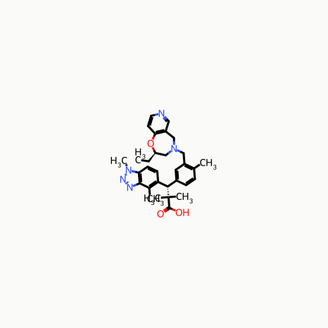 CC[C@@H]1CN(Cc2cc([C@@H](c3ccc4c(nnn4C)c3C)C(C)(C)C(=O)O)ccc2C)Cc2cnccc2O1